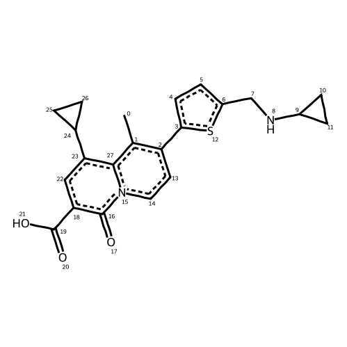 Cc1c(-c2ccc(CNC3CC3)s2)ccn2c(=O)c(C(=O)O)cc(C3CC3)c12